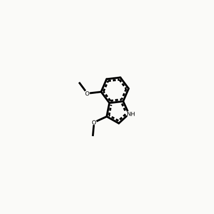 COc1cccc2[nH]cc(OC)c12